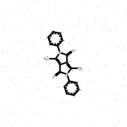 CC1=C2C(=O)N(c3ccccc3)C(C)=C2C(=O)N1c1ccccc1